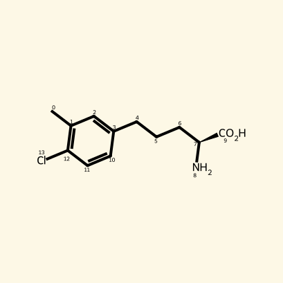 Cc1cc(CCC[C@H](N)C(=O)O)ccc1Cl